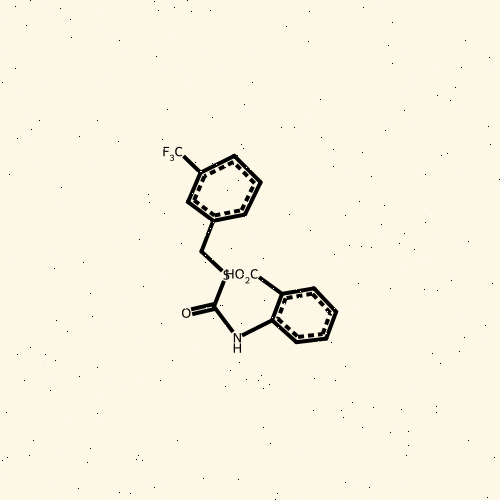 O=C(Nc1ccccc1C(=O)O)SCc1cccc(C(F)(F)F)c1